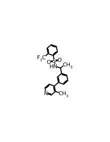 Cc1cnccc1-c1cccc(C(C)NS(=O)(=O)c2ccccc2C(F)(F)F)c1